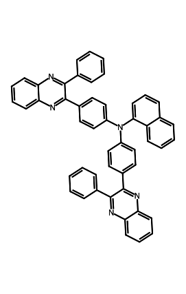 c1ccc(-c2nc3ccccc3nc2-c2ccc(N(c3ccc(-c4nc5ccccc5nc4-c4ccccc4)cc3)c3cccc4ccccc34)cc2)cc1